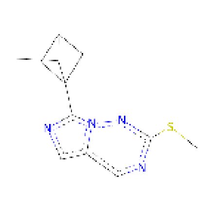 CSc1ncc2cnc(C34CC(C3)C4C)n2n1